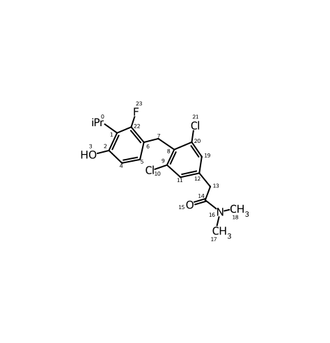 CC(C)c1c(O)ccc(Cc2c(Cl)cc(CC(=O)N(C)C)cc2Cl)c1F